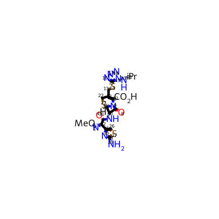 CO/N=C(\C(=O)N[C@@H]1C(=O)N2C(C(=O)O)=C(CSc3nnnn3NC(C)C)CS[C@@H]12)c1csc(N)n1